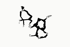 COc1cc(OC2CCN(C)CC2(F)F)c2c(Cl)ncnc2c1